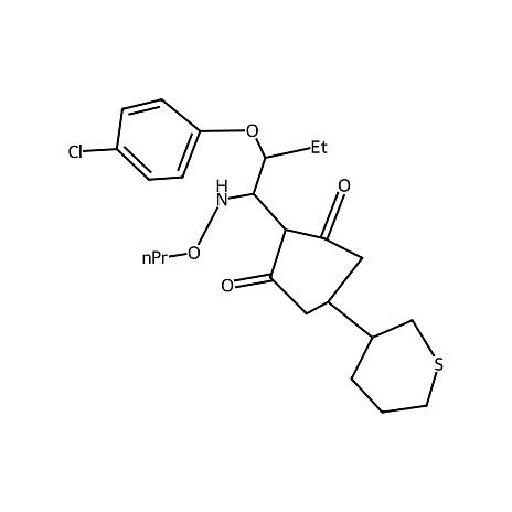 CCCONC(C(CC)Oc1ccc(Cl)cc1)C1C(=O)CC(C2CCCSC2)CC1=O